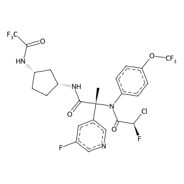 C[C@](C(=O)N[C@@H]1CC[C@H](NC(=O)C(F)(F)F)C1)(c1cncc(F)c1)N(C(=O)[C@H](F)Cl)c1ccc(OC(F)(F)F)cc1